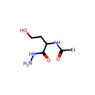 CCC(=O)NC(CCO)C(=O)NN